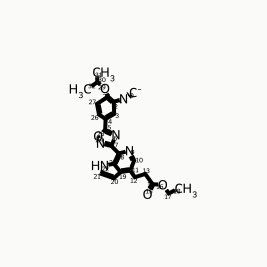 [C-]#[N+]c1cc(-c2nc(-c3ncc(CCC(=O)OCC)c4cc[nH]c34)no2)ccc1OC(C)C